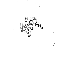 CC1=C(CCC(C)C(=O)C(=CC=O)c2ccccc2)C(C)(C)CCC1